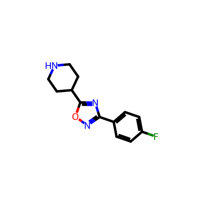 Fc1ccc(-c2noc(C3CCNCC3)n2)cc1